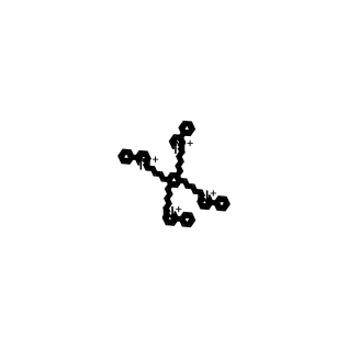 c1ccc(-c2ccc[n+](CCCCCc3cc(CCCCC[n+]4cccc(-c5ccccc5)c4)c(CCCCC[n+]4cccc(-c5ccccc5)c4)cc3CCCCC[n+]3cccc(-c4ccccc4)c3)c2)cc1